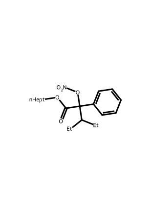 CCCCCCCOC(=O)C(O[N+](=O)[O-])(c1ccccc1)C(CC)CC